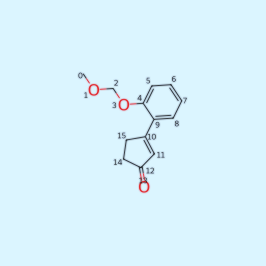 COCOc1ccccc1C1=CC(=O)CC1